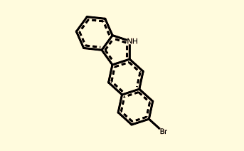 Brc1ccc2cc3c(cc2c1)[nH]c1ccccc13